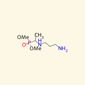 COP(=O)(OC)C(C)NCCCN